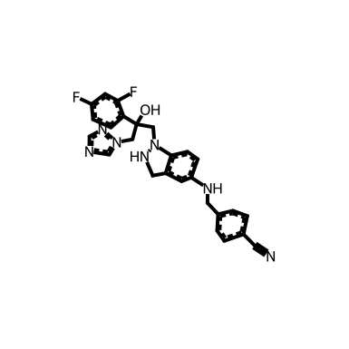 N#Cc1ccc(CNc2ccc3c(c2)CNN3CC(O)(Cn2cncn2)c2ccc(F)cc2F)cc1